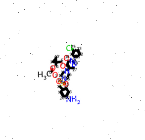 CC(=O)OCC1(COc2c(N3CCN(S(=O)(=O)Cc4ccc(N)cc4)CC3)cnn(-c3cccc(Cl)c3)c2=O)CC1